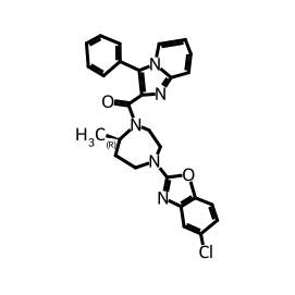 C[C@@H]1CCN(c2nc3cc(Cl)ccc3o2)CCN1C(=O)c1nc2ccccn2c1-c1ccccc1